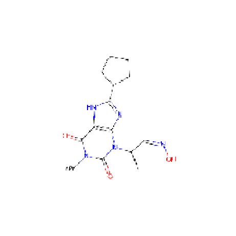 CCCn1c(=O)c2[nH]c(C3CCCC3)nc2n(C(C)/C=N\O)c1=O